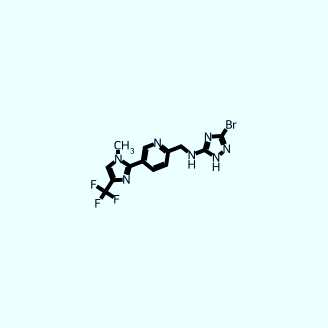 Cn1cc(C(F)(F)F)nc1-c1ccc(CNc2nc(Br)n[nH]2)nc1